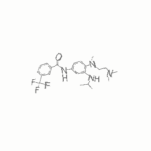 CC(C)Nc1cc(NC(=O)c2cccc(C(F)(F)F)c2)ccc1N(C)CCN(C)C